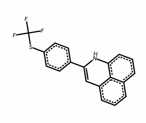 FC(F)(F)Sc1ccc(C2=Cc3cccc4cccc(c34)N2)cc1